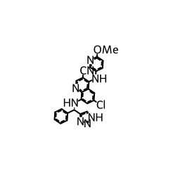 COc1ccc(Nc2c(C#N)cnc3c(N[C@@H](c4ccccc4)c4c[nH]nn4)cc(Cl)cc23)cn1